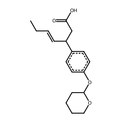 CCC=CC(CC(=O)O)c1ccc(OC2CCCCO2)cc1